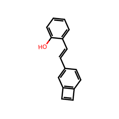 Oc1ccccc1C=Cc1ccc2c(c1)C=C2